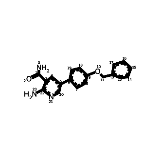 NC(=O)c1cc(-c2ccc(OCc3ccccc3)cc2)cnc1N